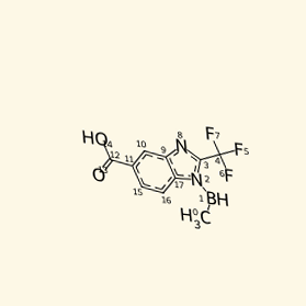 CBn1c(C(F)(F)F)nc2cc(C(=O)O)ccc21